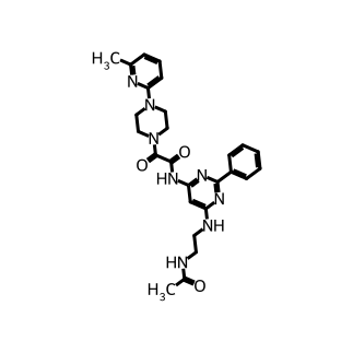 CC(=O)NCCNc1cc(NC(=O)C(=O)N2CCN(c3cccc(C)n3)CC2)nc(-c2ccccc2)n1